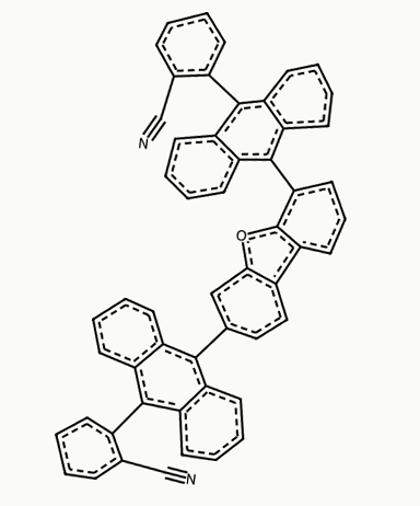 N#Cc1ccccc1-c1c2ccccc2c(-c2ccc3c(c2)oc2c(-c4c5ccccc5c(-c5ccccc5C#N)c5ccccc45)cccc23)c2ccccc12